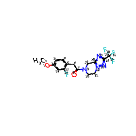 COc1ccc(CC(=O)N2CCn3nc(C(F)(F)F)nc3C2)c(F)c1